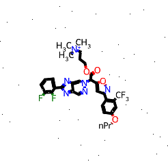 CCCOc1ccc(-c2cc(C(C(=O)OCCC[N+](C)(C)C)n3cc4nc(-c5cccc(F)c5F)nc-4cn3)on2)c(C(F)(F)F)c1